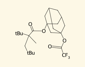 CC(C)(C)CC(C)(C(=O)OC12CC3CC(CC(OC(=O)C(F)(F)F)(C3)C1)C2)C(C)(C)C